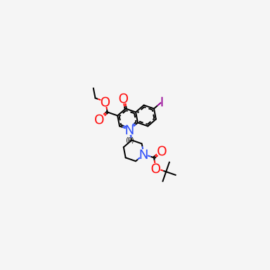 CCOC(=O)c1cn([C@@H]2CCCN(C(=O)OC(C)(C)C)C2)c2ccc(I)cc2c1=O